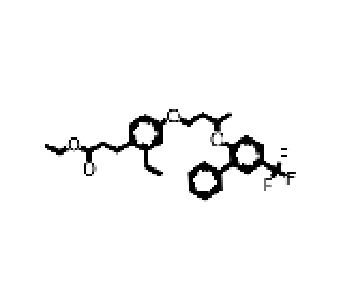 CCOC(=O)CCc1ccc(OCCC(C)Oc2ccc(C(F)(F)F)cc2-c2ccccc2)cc1CC